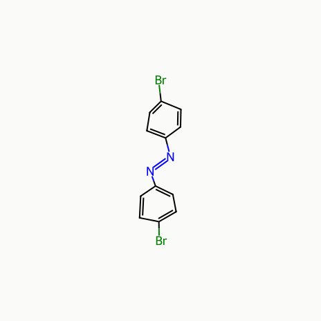 Brc1ccc(N=Nc2ccc(Br)cc2)cc1